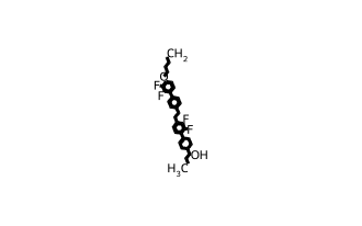 C=CCCCOc1ccc(-c2ccc(CCc3ccc(C4=CCC(C(O)CCC)CC4)c(F)c3F)cc2)c(F)c1F